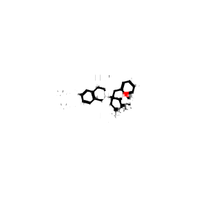 COc1cc2c(cc1OC)CN(C(CC(N)=O)(Cc1ccccc1)c1nonc1S(=O)(=O)O)CC2.Cl